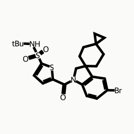 CC(C)(C)NS(=O)(=O)c1ccc(C(=O)N2CC3(CCC4(CC4)CC3)c3cc(Br)ccc32)s1